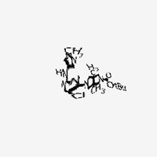 Cn1cc(Nc2ncc(Cl)c(N3C[C@]4(C)CN(C(=O)OC(C)(C)C)C[C@]4(C)C3)n2)cn1